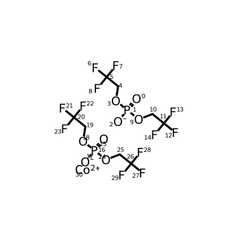 O=P([O-])(OCC(F)(F)F)OCC(F)(F)F.O=P([O-])(OCC(F)(F)F)OCC(F)(F)F.[Co+2]